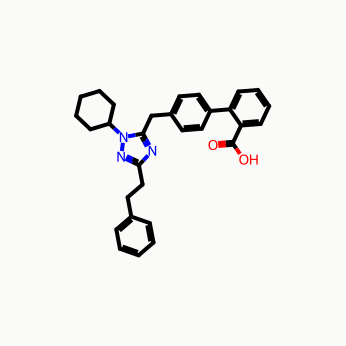 O=C(O)c1ccccc1-c1ccc(Cc2nc(CCc3ccccc3)nn2C2CCCCC2)cc1